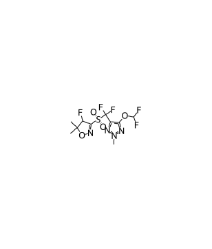 Cn1nc(OC(F)F)c(C(F)(F)S(=O)(=O)C2=NOC(C)(C)C2F)n1